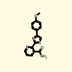 COc1ccc(-c2csc(-c3ncccc3C(N)=O)n2)cc1